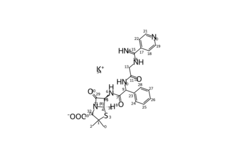 CC1(C)S[C@@H]2[C@H](NC(=O)C(NC(=O)CNC(=N)c3ccncc3)c3ccccc3)C(=O)N2[C@H]1C(=O)[O-].[K+]